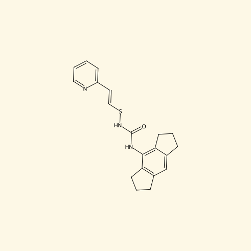 O=C(NS/C=C/c1ccccn1)Nc1c2c(cc3c1CCC3)CCC2